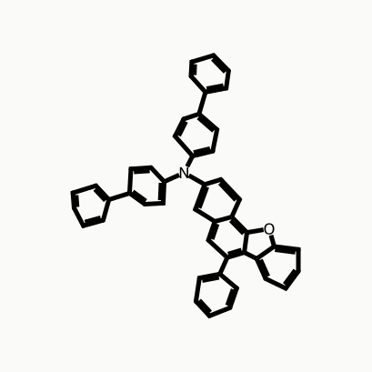 c1ccc(-c2ccc(N(c3ccc(-c4ccccc4)cc3)c3ccc4c(c3)cc(-c3ccccc3)c3c5ccccc5oc43)cc2)cc1